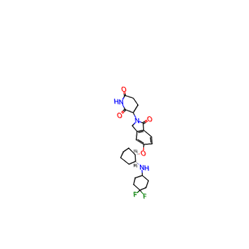 O=C1CCC(N2Cc3cc(O[C@H]4CCCC[C@H]4NC4CCC(F)(F)CC4)ccc3C2=O)C(=O)N1